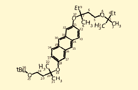 CCC(C)(C)OCCC(C)(CC)Oc1ccc2cc3cc(OC(C)(C)CCOC(C)(C)C)ccc3cc2c1